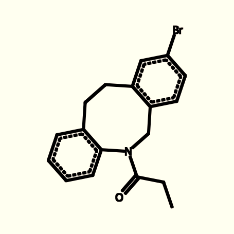 CCC(=O)N1Cc2ccc(Br)cc2CCc2ccccc21